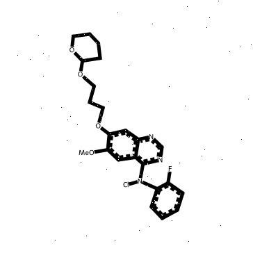 COc1cc2c(N(Cl)c3ccccc3F)ncnc2cc1OCCCOC1CCCCO1